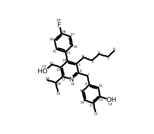 CCCCCc1c(Cc2ccc(C)c(O)c2)nc(C(C)C)c(CO)c1-c1ccc(F)cc1